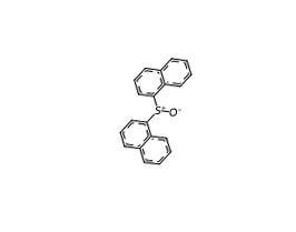 [O-][S+](c1cccc2ccccc12)c1cccc2ccccc12